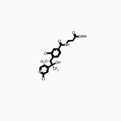 COC(=O)CCNC(=O)c1ccc([C@@H](C)[C@@](O)(c2ccnc(Cl)c2)C(F)(F)F)c(Cl)c1